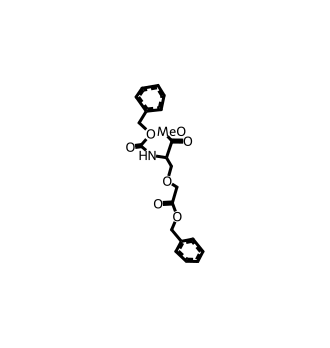 COC(=O)C(COCC(=O)OCc1ccccc1)NC(=O)OCc1ccccc1